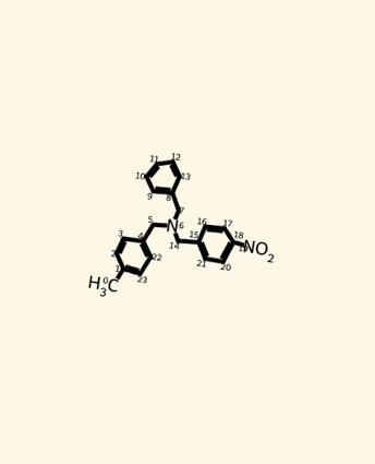 Cc1ccc(CN(Cc2ccccc2)Cc2ccc([N+](=O)[O-])cc2)cc1